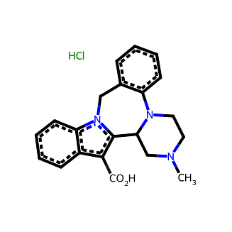 CN1CCN2c3ccccc3Cn3c(c(C(=O)O)c4ccccc43)C2C1.Cl